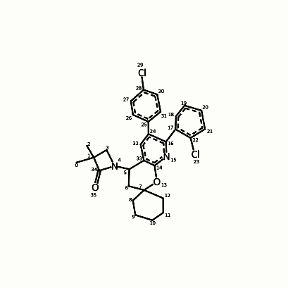 CC1(C)CN(C2CC3(CCCCC3)Oc3nc(-c4ccccc4Cl)c(-c4ccc(Cl)cc4)cc32)C1=O